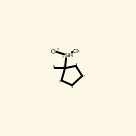 CC1([SiH](Cl)Cl)CCCC1